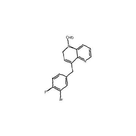 O=CN1CC=C(Cc2ccc(F)c(Br)c2)c2ncccc21